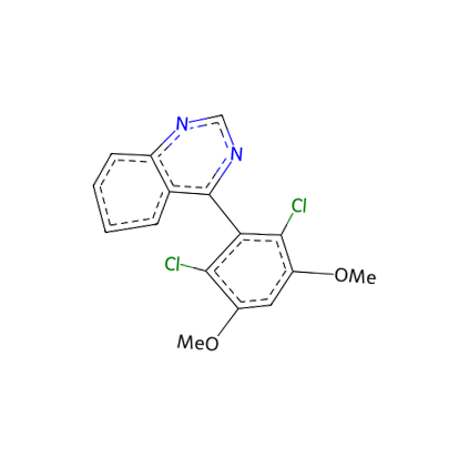 COc1cc(OC)c(Cl)c(-c2ncnc3ccccc23)c1Cl